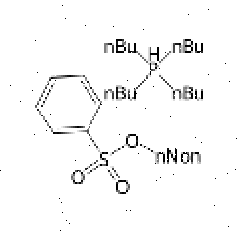 CCCCCCCCCOS(=O)(=O)c1ccccc1.CCCC[PH](CCCC)(CCCC)CCCC